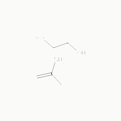 C=C(C)N.OCCO